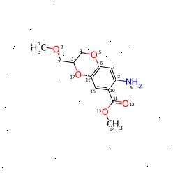 COCC1COc2cc(N)c(C(=O)OC)cc2O1